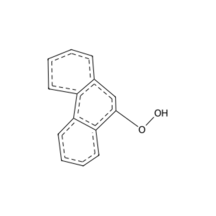 OOc1cc2ccccc2c2ccccc12